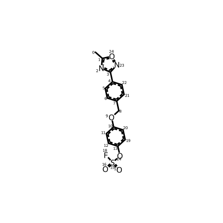 Cc1nc(-c2ccc(COc3ccc(OS(=O)(=O)F)cc3)cc2)no1